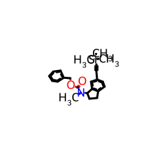 CN(C(=O)OCc1ccccc1)C1CCc2ccc(C#C[Si](C)(C)C)cc21